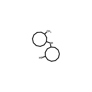 CC1CCCCCCCCC(NC2CCCCCCCC(S)CC2)C1